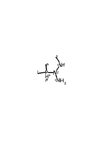 CNN(N)[PH](C)(C)C